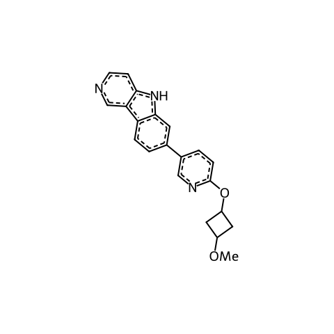 COC1CC(Oc2ccc(-c3ccc4c(c3)[nH]c3ccncc34)cn2)C1